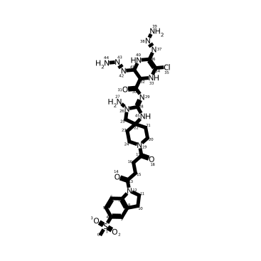 CS(=O)(=O)c1ccc2c(c1)CCN2C(=O)CCC(=O)N1CCC2(CC1)CN(N)/C(=N\C(=O)C1NC(Cl)=C(N=NN)NC1N=NN)N2